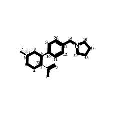 C=C(C)[C@@H]1CC[C@@H](C)C[C@H]1c1ccc(CN2CCCC2)cc1